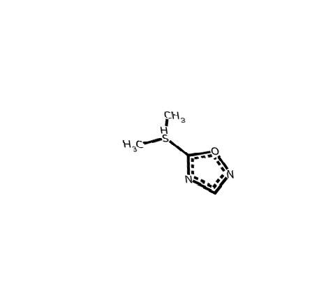 C[SH](C)c1ncno1